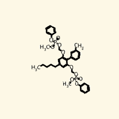 CCCCCc1cc(OCOP(=O)(OC)Oc2ccccc2)c(-c2cccc(C)c2)c(OCOP(=O)(OC)Oc2ccccc2)c1